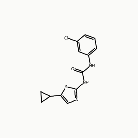 O=C(Nc1cccc(Cl)c1)Nc1ncc(C2CC2)s1